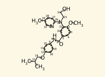 COc1ccc(C(=O)Nc2ccc(OCC(C)C)cc2)cc1N(CCO)c1ccc(C)cn1